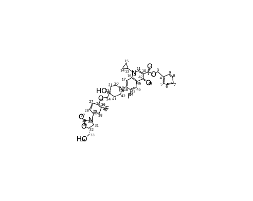 O=C(OCc1ccccc1)c1cn(C2CC2)c2cc(N3CCC(O)(COc4ccc(N5C[C@H](CO)OC5=O)cc4F)CC3)c(F)cc2c1=O